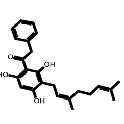 CC(C)=CCCC(C)=CCc1c(O)cc(O)c(C(=O)Cc2ccccc2)c1O